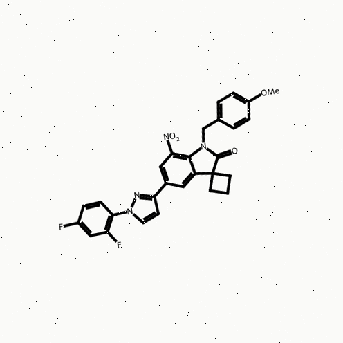 COc1ccc(CN2C(=O)C3(CCC3)c3cc(-c4ccn(-c5ccc(F)cc5F)n4)cc([N+](=O)[O-])c32)cc1